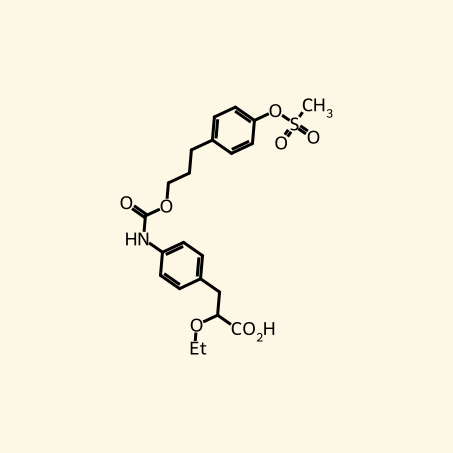 CCOC(Cc1ccc(NC(=O)OCCCc2ccc(OS(C)(=O)=O)cc2)cc1)C(=O)O